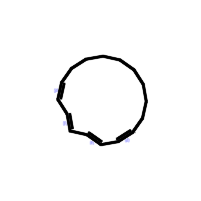 [C]1=C/C=C/C=C/C=C\CCCCCCCC\1